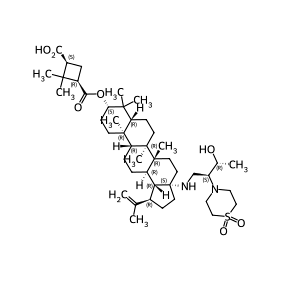 C=C(C)[C@@H]1CC[C@]2(NC[C@@H]([C@@H](C)O)N3CCS(=O)(=O)CC3)CC[C@]3(C)[C@H](CC[C@@H]4[C@@]5(C)CC[C@H](OC(=O)[C@@H]6C[C@H](C(=O)O)C6(C)C)C(C)(C)[C@@H]5CC[C@]43C)[C@@H]12